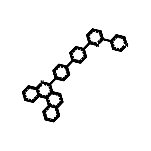 c1cc(-c2ccncc2)nc(-c2ccc(-c3ccc(-c4nc5ccccc5c5c4ccc4ccccc45)cc3)cc2)c1